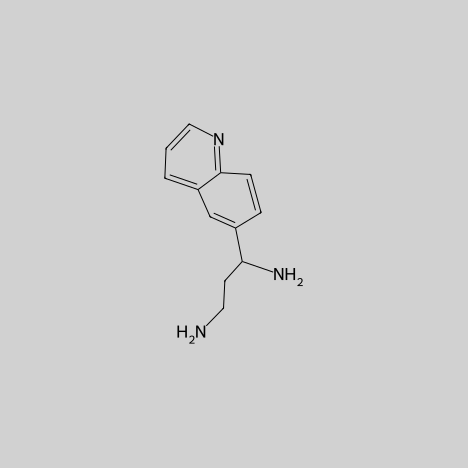 NCCC(N)c1ccc2ncccc2c1